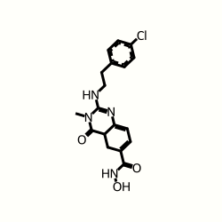 CN1C(=O)C2CC(C(=O)NO)=CC=C2N=C1NCCc1ccc(Cl)cc1